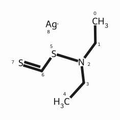 CCN(CC)SC=S.[Ag]